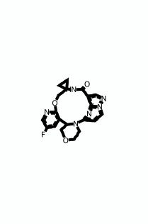 O=C1NC2(CC2)COc2ncc(F)cc2C2COCCN2c2ccn3ncc1c3n2